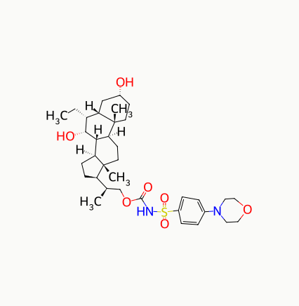 CC[C@H]1[C@@H](O)[C@@H]2[C@H](CC[C@]3(C)[C@@H]([C@H](C)COC(=O)NS(=O)(=O)c4ccc(N5CCOCC5)cc4)CC[C@@H]23)[C@@]2(C)CC[C@@H](O)C[C@@H]12